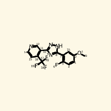 COc1ccc(F)c(-c2nc(-c3cnccc3C(F)(F)F)n[nH]2)c1